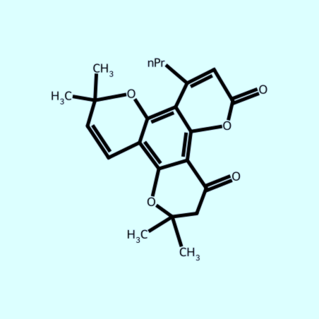 CCCc1cc(=O)oc2c3c(c4c(c12)OC(C)(C)C=C4)OC(C)(C)CC3=O